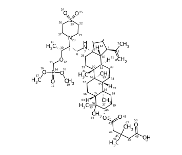 C=C(C)[C@@H]1CC[C@]2(NC[C@H]([C@@H](C)OCP(=O)(OC)OC)N3CCS(=O)(=O)CC3)CC[C@]3(C)[C@H](CC[C@@H]4[C@@]5(C)CC[C@H](OC(=O)CC(C)(C)CC(=O)O)C(C)(C)[C@@H]5CC[C@]43C)[C@@H]12